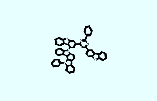 c1ccc(-c2nc(-c3cc(-n4c5ccccc5c5c4ccc4c6ccccc6n(-c6ccccc6)c45)c4c(c3)oc3ccccc34)nc(-c3ccc4oc5ccccc5c4c3)n2)cc1